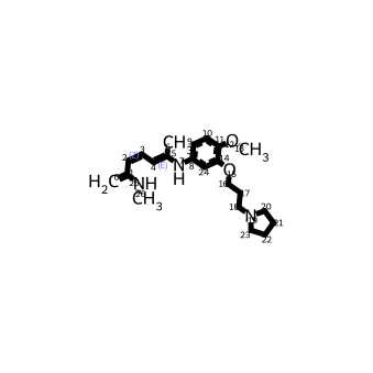 C=C(/C=C\C=C(/C)Nc1ccc(OC)c(OCCCN2CCCC2)c1)NC